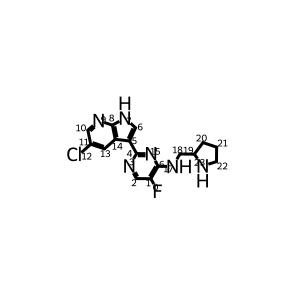 Fc1cnc(-c2c[nH]c3ncc(Cl)cc23)nc1NCC1CCCN1